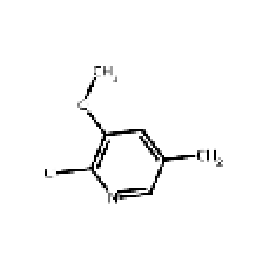 [CH2]c1cnc(Cl)c(OC)c1